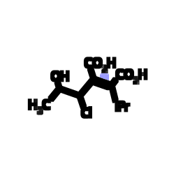 CC(C)/C(C(=O)O)=C(/C(=O)O)C(Cl)C(C)O